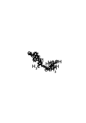 Cc1cc(COC2(c3cnccc3-c3ccccc3OC3COC3)CC2)c(Cl)cc1CCCCC(=O)N(C)C[C@H](O)[C@@H](O)[C@H](O)[C@H](O)CO